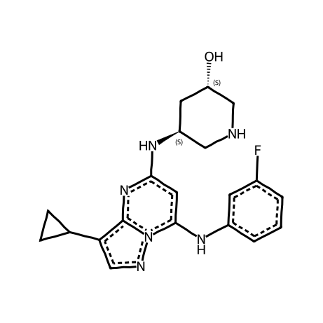 O[C@@H]1CNC[C@@H](Nc2cc(Nc3cccc(F)c3)n3ncc(C4CC4)c3n2)C1